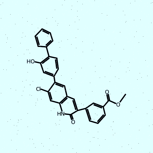 COC(=O)c1cccc(-c2cc3cc(-c4ccc(-c5ccccc5)c(O)c4)c(Cl)cc3[nH]c2=O)c1